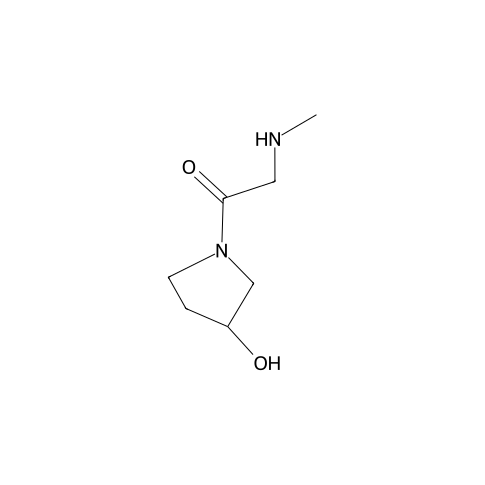 CNCC(=O)N1CCC(O)C1